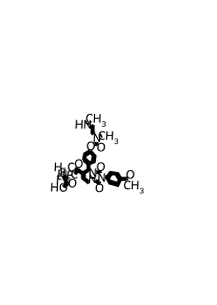 CNCCN(C)C(=O)Oc1ccc2c(c1)OC(C)(C)C1=CCn3c(=O)n(-c4ccc(C(C)=O)cc4)c(=O)n3C12.O=C(O)C(F)(F)F